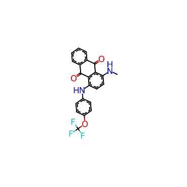 CNc1ccc(Nc2ccc(OC(F)(F)F)cc2)c2c1C(=O)c1ccccc1C2=O